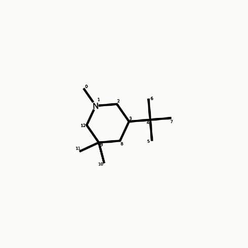 CN1CC(C(C)(C)C)CC(C)(C)C1